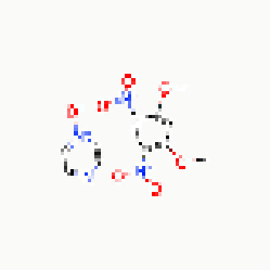 COc1cc(OC)c([N+](=O)[O-])cc1[N+](=O)[O-].[O-][n+]1ccncc1